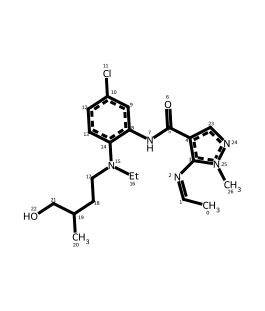 C/C=N\c1c(C(=O)Nc2cc(Cl)ccc2N(CC)CCC(C)CO)cnn1C